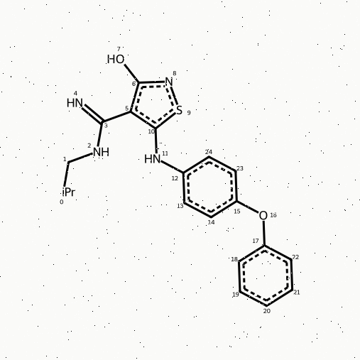 CC(C)CNC(=N)c1c(O)nsc1Nc1ccc(Oc2ccccc2)cc1